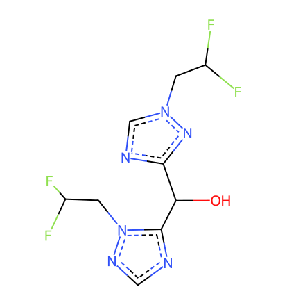 OC(c1ncn(CC(F)F)n1)c1ncnn1CC(F)F